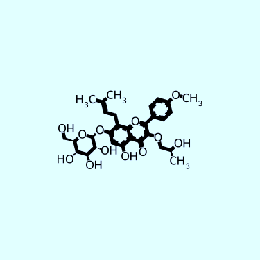 COc1ccc(-c2oc3c(CC=C(C)C)c(O[C@@H]4O[C@H](CO)[C@@H](O)[C@H](O)[C@H]4O)cc(O)c3c(=O)c2OC[C@H](C)O)cc1